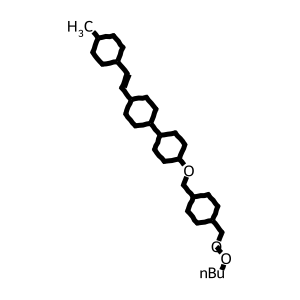 [CH2+][CH-]CCOOCC1CCC(COC2CCC(C3CCC(C=CC4CCC(C)CC4)CC3)CC2)CC1